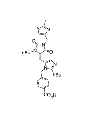 CCCCc1ncc(/C=C2\C(=O)N(Cc3csc(C)n3)C(=O)N2CCCC)n1Cc1ccc(C(=O)O)cc1